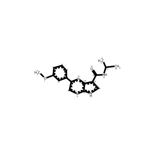 COc1cccc(-c2cnc3[nH]cc(C(=O)NC(C)C)c3n2)c1